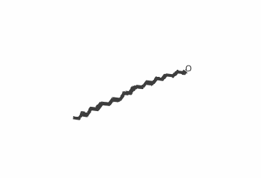 CC/C=C/C/C=C/C/C=C/C/C=C/C/C=C/C/C=C/CC[C]=O